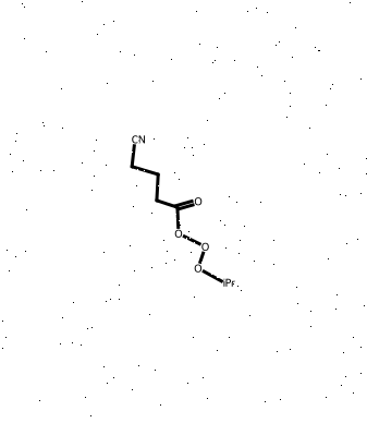 CC(C)OOOC(=O)CCCC#N